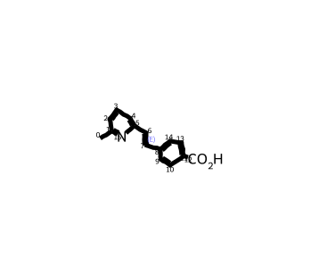 Cc1cccc(/C=C/c2ccc(C(=O)O)cc2)n1